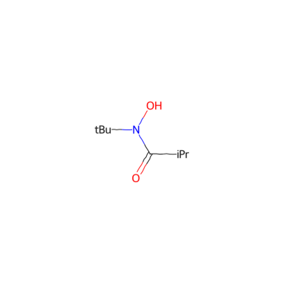 CC(C)C(=O)N(O)C(C)(C)C